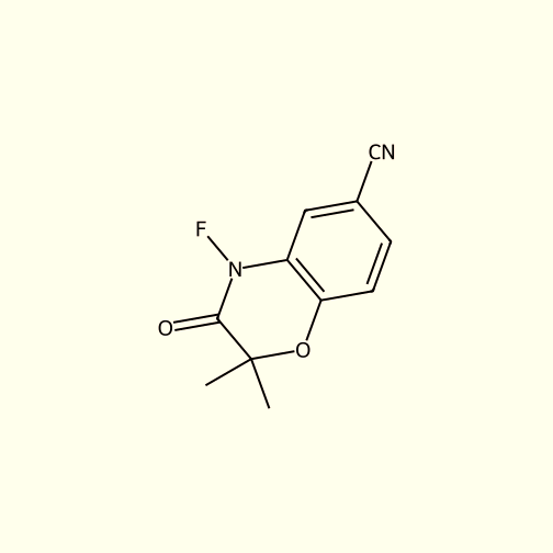 CC1(C)Oc2ccc(C#N)cc2N(F)C1=O